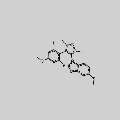 COc1cc(F)c(-c2c(C)nn(C)c2-n2cnc3cc(SC)ccc32)c(F)c1